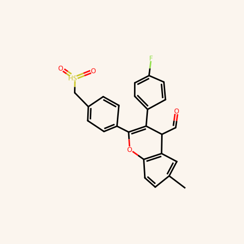 Cc1ccc2c(c1)C(C=O)C(c1ccc(F)cc1)=C(c1ccc(C[SH](=O)=O)cc1)O2